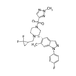 Cc1cc2c(cnn2-c2ccc(F)cc2)cc1[C@H]1CN(S(=O)(=O)c2cnn(C)n2)CCN1CC1CC1(F)F